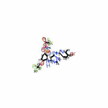 Cc1nc(Nc2cc(Nc3cc(S(=O)(=O)N(C)OC(=O)C(F)(F)F)ccc3OCC(F)(F)F)ncn2)ccc1Br